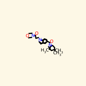 CC1(C)CC2CC(C)(CN2C(=O)c2ccc3c(ccn3CCC(=O)N3CCOCC3)c2)C1